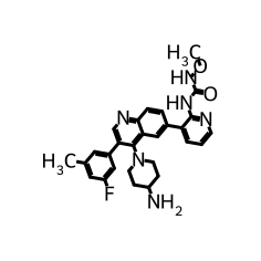 CONC(=O)Nc1ncccc1-c1ccc2ncc(-c3cc(C)cc(F)c3)c(N3CCC(N)CC3)c2c1